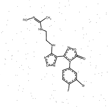 C/C(=N/O)NCCNc1nonc1-c1noc(=O)n1-c1ccc(F)c(Br)c1